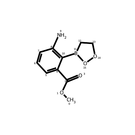 COC(=O)c1cccc(N)c1B1CCOO1